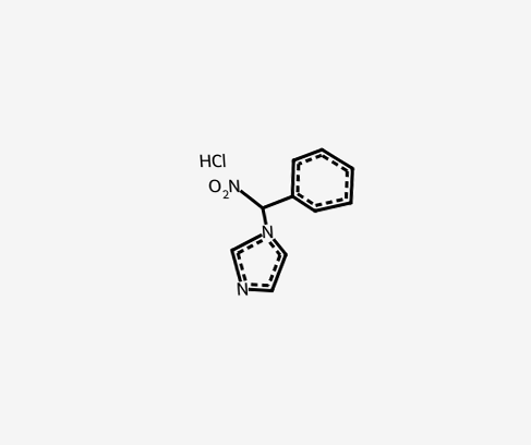 Cl.O=[N+]([O-])C(c1ccccc1)n1ccnc1